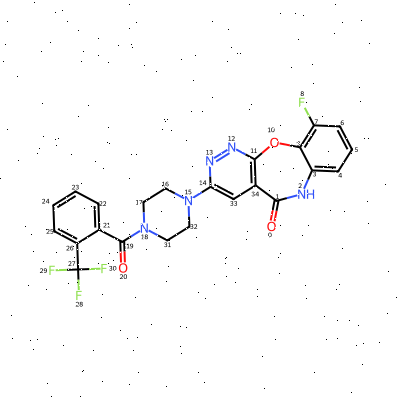 O=C1Nc2cccc(F)c2Oc2nnc(N3CCN(C(=O)c4ccccc4C(F)(F)F)CC3)cc21